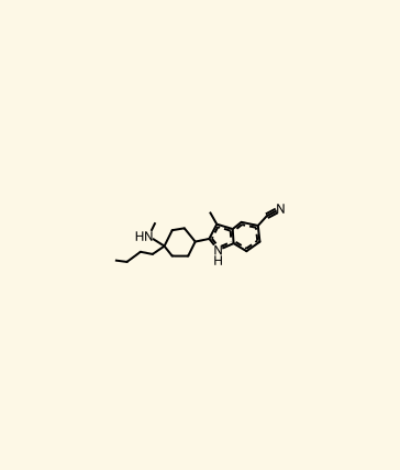 CCCCC1(NC)CCC(c2[nH]c3ccc(C#N)cc3c2C)CC1